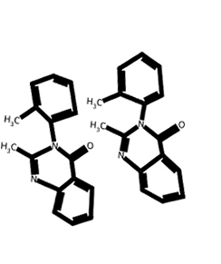 Cc1ccccc1-n1c(C)nc2ccccc2c1=O.Cc1ccccc1-n1c(C)nc2ccccc2c1=O